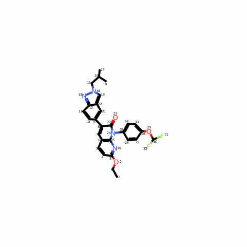 CCOc1ccc2cc(-c3ccc4nn(CC(C)C)cc4c3)c(=O)n(-c3ccc(OC(F)F)cc3)c2n1